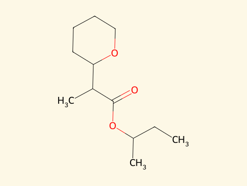 CCC(C)OC(=O)C(C)C1CCCCO1